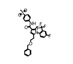 Cc1c(C(=O)Nc2ccc(S(C)(=O)=O)cc2)cc(CCOCc2ccccc2)n1-c1ccc(F)cc1C(F)(F)F